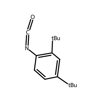 CC(C)(C)c1ccc(N=C=O)c(C(C)(C)C)c1